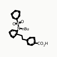 CCCCN(c1ccccc1CCc1ccc(C(=O)O)cc1)S(=O)(=O)c1ccccc1